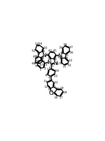 c1ccc(-n2c(-c3ccc(-c4ccc5oc6ccccc6c5c4)cc3)nc3c(-n4c5ccccc5c5ccccc54)ccc(-n4c5ccccc5c5ccccc54)c32)cc1